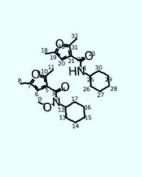 CON(C(=O)c1cc(C)oc1C)C1CCCCC1.Cc1cc(C(=O)NC2CCCCC2)c(C)o1